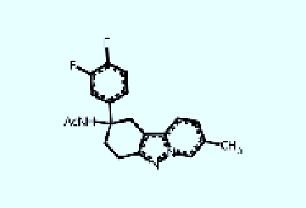 CC(=O)NC1(c2ccc(F)c(F)c2)CCc2nn3cc(C)ccc3c2C1